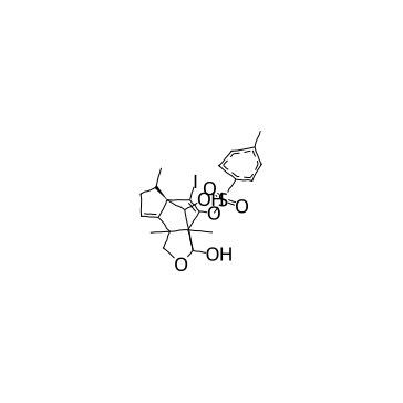 Cc1ccc(S(=O)(=O)OC2=C(I)[C@]34C(=CCC3C)C3(C)COC(O)(C4O)C23C)cc1